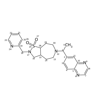 CC(c1ccc2nccnc2c1)N1CCC2CN(Cc3ccccn3)S(=O)(=O)C2CC1